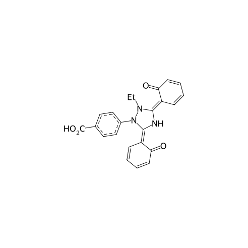 CCN1/C(=C2/C=CC=CC2=O)N/C(=C2/C=CC=CC2=O)N1c1ccc(C(=O)O)cc1